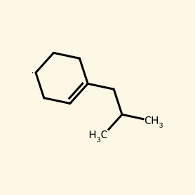 CC(C)CC1=CC[CH]CC1